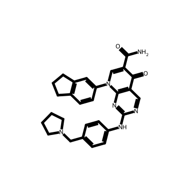 NC(=O)c1cn(-c2ccc3c(c2)CCC3)c2nc(Nc3ccc(CN4CCCC4)cc3)ncc2c1=O